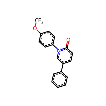 O=c1ccc(-c2ccccc2)cn1-c1ccc(OC(F)(F)F)cc1